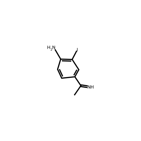 CC(=N)c1ccc(N)c(I)c1